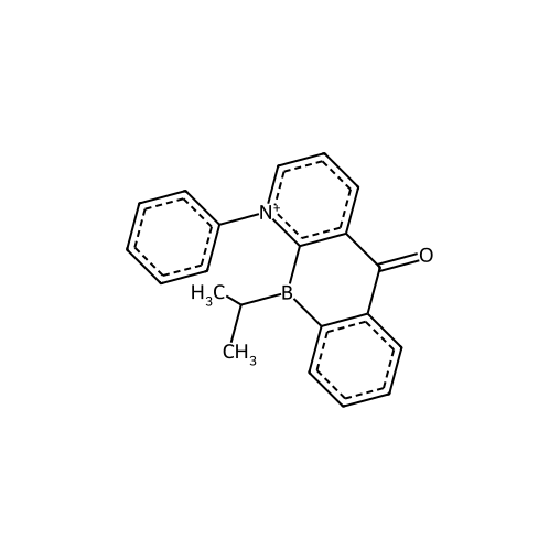 CC(C)B1c2ccccc2C(=O)c2ccc[n+](-c3ccccc3)c21